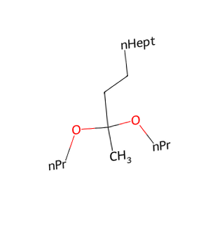 CCCCCCCCCC(C)(OCCC)OCCC